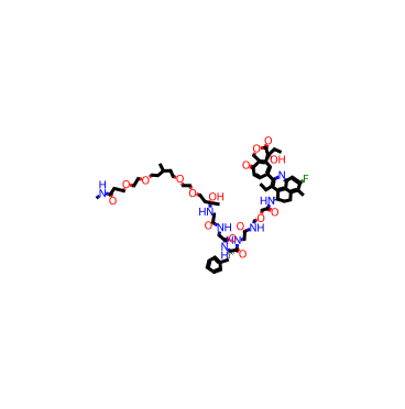 CCc1c(-c2ccc(=O)c3c(c2)[C@@](O)(CC)C(=O)OC3)nc2cc(F)c(C)c3c2c1[C@@H](NC(=O)COCNC(=O)CNC(=O)[C@H](Cc1ccccc1)NC(=O)CNC(=O)CNC(C)(O)CCOCCOCCC(C)CCOCCOCCC(=O)NC)CC3